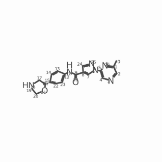 Cc1cncc(-n2cc(C(=O)Nc3ccc([C@H]4CNCCO4)cc3)cn2)n1